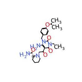 CCn1c(=O)c(C(=O)CN2CCCC[C@@H]2C(N)=O)c(N)n(Cc2ccc(OC(C)C)cc2)c1=O